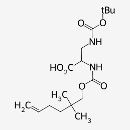 C=CCCC(C)(C)COC(=O)NC(CNC(=O)OC(C)(C)C)C(=O)O